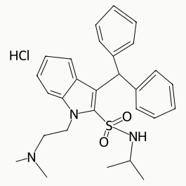 CC(C)NS(=O)(=O)c1c(C(c2ccccc2)c2ccccc2)c2ccccc2n1CCN(C)C.Cl